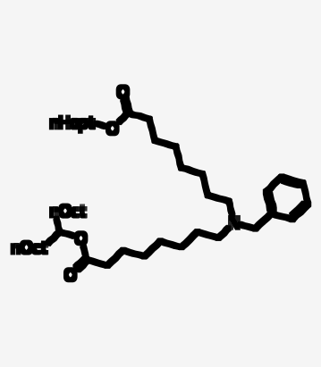 CCCCCCCCC(CCCCCCCC)OC(=O)CCCCCCCN(CCCCCCCC(=O)OCCCCCCC)Cc1ccccc1